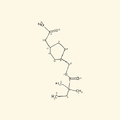 CCC(C)(C)C(=O)OCC1CCC(CC(=O)O)CC1